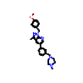 COc1ccc(Cn2nc(C)c3cc(-c4cccc(CN5CCN(C)CC5)c4)cnc32)cc1